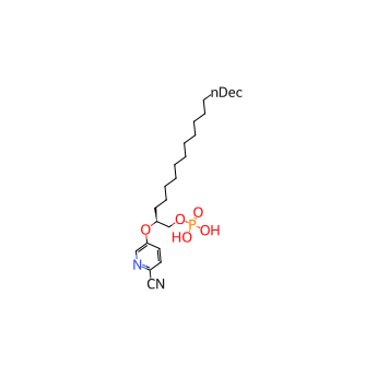 CCCCCCCCCCCCCCCCCCCCC[C@@H](COP(=O)(O)O)Oc1ccc(C#N)nc1